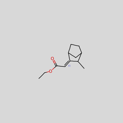 CCOC(=O)/C=C1\C2CCC(C2)C1C